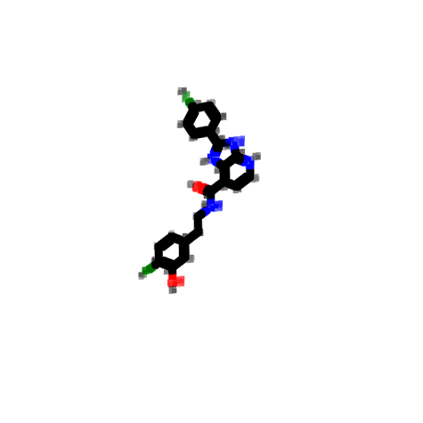 O=C(NCCc1ccc(F)c(O)c1)c1ccnc2[nH]c(-c3ccc(F)cc3)nc12